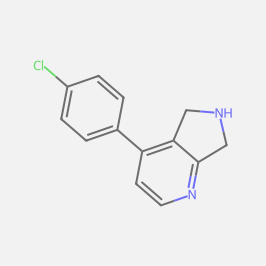 Clc1ccc(-c2ccnc3c2CNC3)cc1